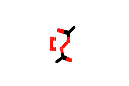 CC(=O)OOC(C)=O.OO